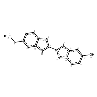 O=C(O)Cc1ccc2nc(-c3nc4ccc(O)cc4s3)sc2c1